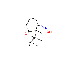 CC(C)(C)[Si](C)(C)C1(C)C(=O)CCCC1=NO